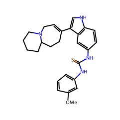 COc1cccc(NC(=S)Nc2ccc3[nH]cc(C4=CCN5CCCCC5CC4)c3c2)c1